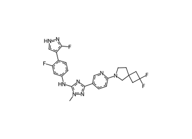 Cn1nc(-c2ccc(N3CCC4(C3)CC(F)(F)C4)nc2)nc1Nc1ccc(-c2c[nH]nc2F)c(F)c1